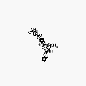 CC(C)C[C@H](NC(=O)COc1ccccc1I)C(=O)N[C@@H](Cc1ccc(OC(=O)N2CCC(C(N)=O)CC2)cc1)C(=O)O